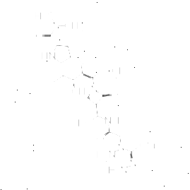 CC(NC(=O)CN(N)/C(=N\N)C(C)(C)C)C1CN(/C(C(=O)O)=C(/S[C@@H]2CN[C@H](C(=O)N(C)C)C2)[C@@H](C)CI)C1=O